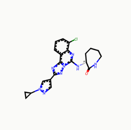 O=C1NCCCC[C@H]1Nc1nc2c(Cl)cccc2c2nc(-c3cnn(C4CC4)c3)nn12